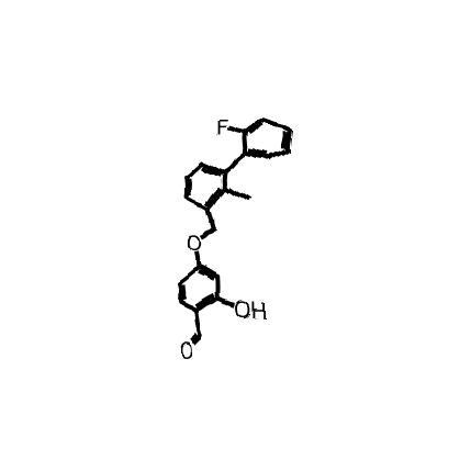 Cc1c(COc2ccc(C=O)c(O)c2)cccc1-c1ccccc1F